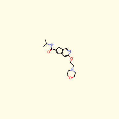 CC(C)NC(=O)C1=Cc2cc(OCCN3CCOCC3)ncc2C1